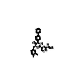 Cc1ccc(CNC(=O)C(NC(=O)[C@@H](CC(=O)NO)CC(C)C)c2ccc(-c3ccccc3)cc2)cc1C